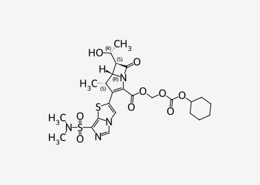 C[C@@H](O)[C@H]1C(=O)N2C(C(=O)OCOC(=O)OC3CCCCC3)=C(c3cn4cnc(S(=O)(=O)N(C)C)c4s3)[C@H](C)[C@H]12